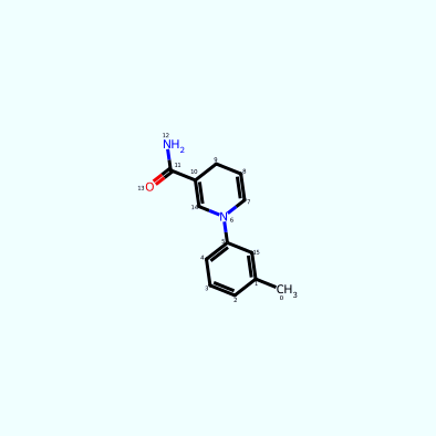 Cc1cccc(N2C=CCC(C(N)=O)=C2)c1